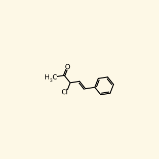 CC(=O)C(Cl)/C=C/c1ccccc1